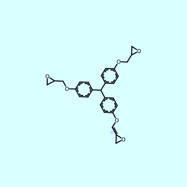 C(/Oc1ccc(C(c2ccc(OCC3CO3)cc2)c2ccc(OCC3CO3)cc2)cc1)=C1\CO1